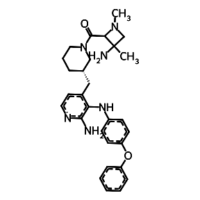 CN1CC(C)(N)C1C(=O)N1CCC[C@@H](Cc2ccnc(N)c2Nc2ccc(Oc3ccccc3)cc2)C1